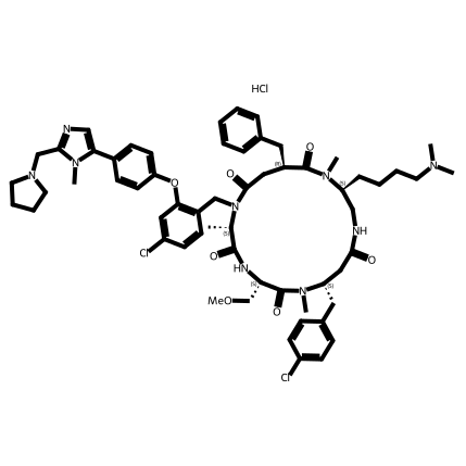 COC[C@@H]1NC(=O)[C@H](C)N(Cc2ccc(Cl)cc2Oc2ccc(-c3cnc(CN4CCCC4)n3C)cc2)C(=O)C[C@@H](Cc2ccccc2)C(=O)N(C)[C@@H](CCCCN(C)C)CNC(=O)C[C@H](Cc2ccc(Cl)cc2)N(C)C1=O.Cl